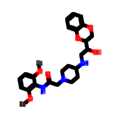 CCOc1cccc(OCC)c1NC(=O)CN1CCC(NCC(O)C2COc3ccccc3O2)CC1